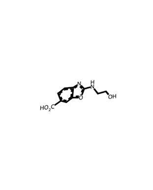 O=C(O)c1ccc2nc(NCCO)oc2c1